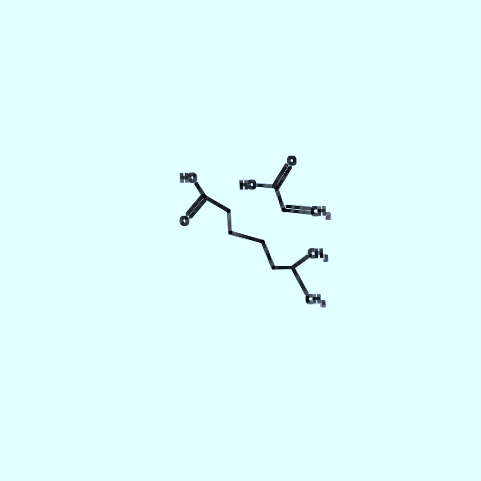 C=CC(=O)O.CC(C)CCCCC(=O)O